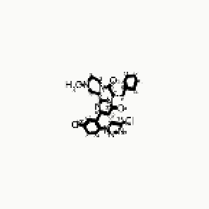 CN1CCN(C(=O)[C@H](Cc2ccccc2)n2cnc(-c3cc(Cl)ccc3-n3cc(Cl)nn3)cc2=O)CC1